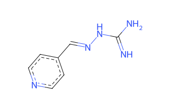 N=C(N)NN=Cc1ccncc1